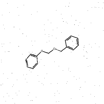 [CH](OCc1ccccc1)Oc1ccccc1